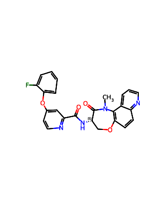 CN1C(=O)[C@@H](NC(=O)c2cc(Oc3ccccc3F)ccn2)COc2ccc3ncccc3c21